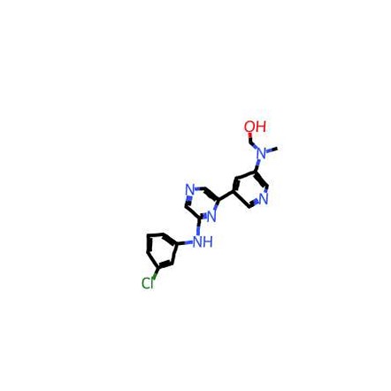 CN(CO)c1cncc(-c2cncc(Nc3cccc(Cl)c3)n2)c1